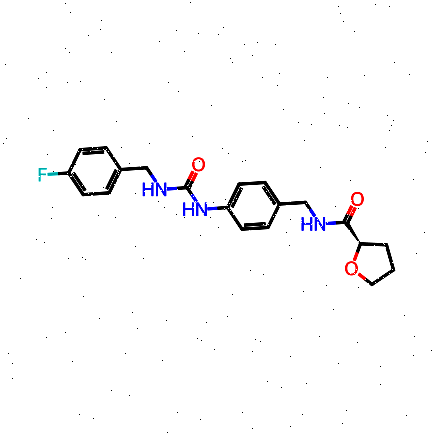 O=C(NCc1ccc(F)cc1)Nc1ccc(CNC(=O)[C@H]2CCCO2)cc1